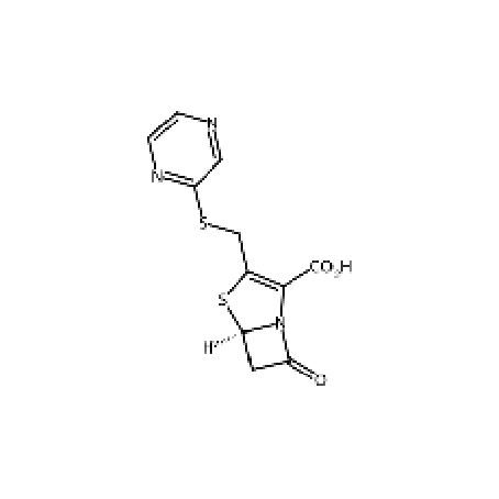 O=C(O)C1=C(CSc2cnccn2)S[C@@H]2CC(=O)N12